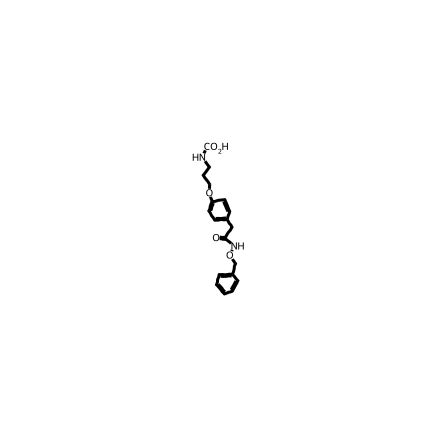 O=C(O)NCCCOc1ccc(CC(=O)NOCc2ccccc2)cc1